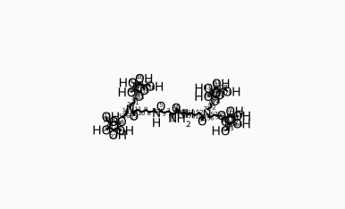 N[C@@H](CCC(=O)NCCCCCC(=O)N(CCCOC1OC(CO)C(O)C(O)C1O)CCCO[C@H]1O[C@H](CO)[C@@H](O)[C@H](O)[C@@H]1O)C(=O)NCCCCCC(=O)N(CCCO[C@H]1O[C@H](CO)[C@@H](O)[C@H](O)[C@@H]1O)CCCO[C@H]1O[C@H](CO)[C@@H](O)[C@H](O)[C@@H]1O